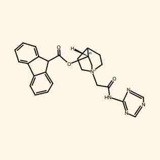 O=C(C[N+]12CCC(CC1)[C@@H](OC(=O)C1c3ccccc3-c3ccccc31)C2)Nc1ncncn1